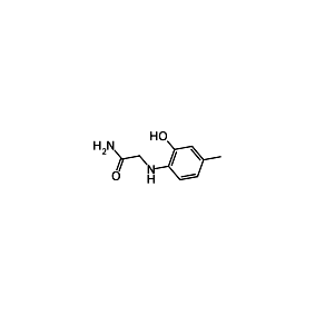 Cc1ccc(NCC(N)=O)c(O)c1